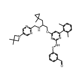 Cc1cccc(C)c1-c1cc(OCC(CC2(C)CC2)NCc2ncc(N3CC(C)(C)C3)cn2)nc(NSc2cccc(C=O)c2)n1